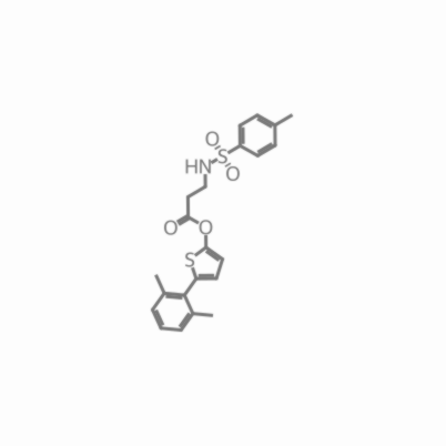 Cc1ccc(S(=O)(=O)NCCC(=O)Oc2ccc(-c3c(C)cccc3C)s2)cc1